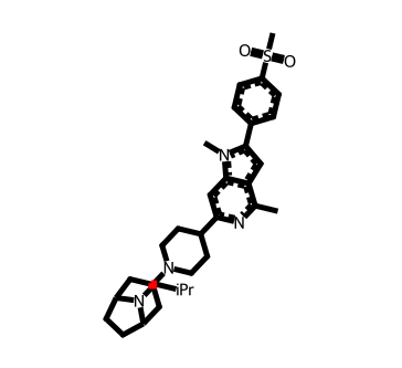 Cc1nc(C2CCN(C3CC4CCC(C3)N4CC(C)C)CC2)cc2c1cc(-c1ccc(S(C)(=O)=O)cc1)n2C